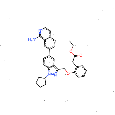 CCOC(=O)Cc1ccccc1OCc1nn(C2CCCC2)c2ccc(-c3ccc4ccnc(N)c4c3)cc12